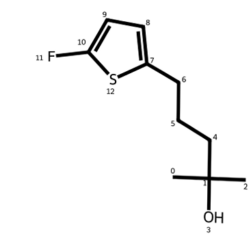 CC(C)(O)CCCc1ccc(F)s1